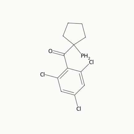 O=C(c1c(Cl)cc(Cl)cc1Cl)C1(P)CCCC1